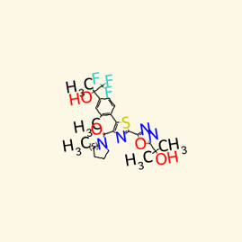 Cc1cc(C(C)(O)C(F)(F)F)ccc1-c1sc(-c2nnc(C(C)(C)O)o2)nc1C(=O)N1CCC[C@@H]1C